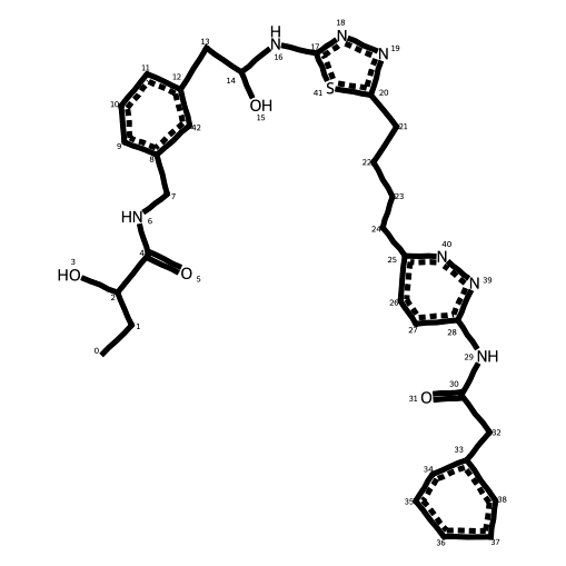 CCC(O)C(=O)NCc1cccc(CC(O)Nc2nnc(CCCCc3ccc(NC(=O)Cc4ccccc4)nn3)s2)c1